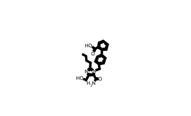 CCCCc1nc(CO)c(C(N)=O)n1Cc1ccc(-c2ccccc2C(=O)O)cc1